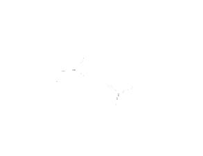 CCOC(CC)CC=C(C)C(=O)O